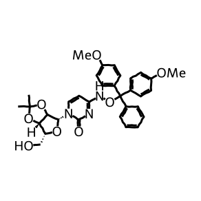 COc1ccc(C(ONc2ccn([C@@H]3O[C@H](CO)[C@@H]4OC(C)(C)OC43)c(=O)n2)(c2ccccc2)c2ccc(OC)cc2)cc1